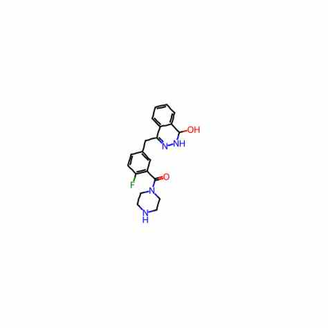 O=C(c1cc(CC2=NNC(O)c3ccccc32)ccc1F)N1CCNCC1